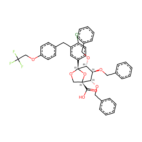 O=C(O)[C@@]12CO[C@@](c3ccc(Cl)c(Cc4ccc(OCC(F)(F)F)cc4)c3)(O1)[C@H](OCc1ccccc1)[C@@H](OCc1ccccc1)[C@@H]2OCc1ccccc1